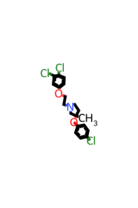 CC1(Oc2ccc(Cl)cc2)CCN(CCOc2ccc(Cl)c(Cl)c2)C1